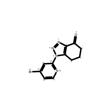 O=C1CCCc2c1nnn2-c1cc(Br)ccn1